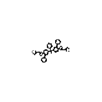 CC(c1ccccc1)(c1ccc(OCC2CO2)c(-c2ccccc2)c1)c1ccc(OCC2CO2)c(-c2ccccc2)c1